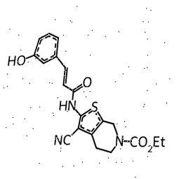 CCOC(=O)N1CCc2c(sc(NC(=O)C=Cc3cccc(O)c3)c2C#N)C1